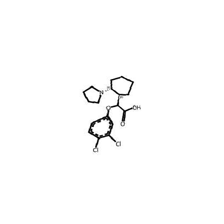 O=C(O)C(Oc1ccc(Cl)c(Cl)c1)[C@@H]1CCCC[C@H]1N1CCCC1